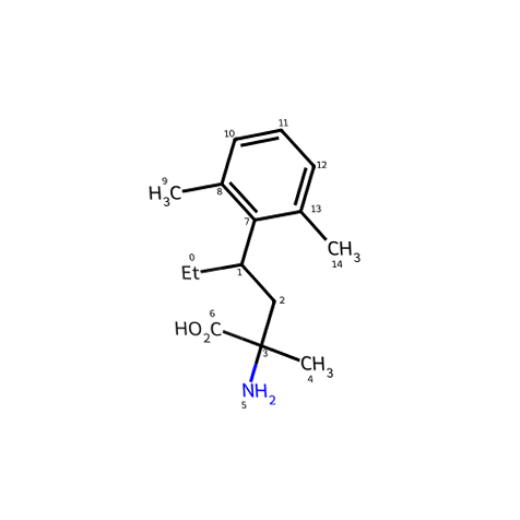 CCC(CC(C)(N)C(=O)O)c1c(C)cccc1C